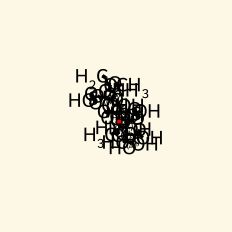 C=CCOC1OC(COS(=O)(=O)O)[C@H](O)[C@H](OC2OC(C(=O)O)[C@@H](OC3OC(COS(=O)(=O)O)[C@H](O)[C@H](O[C@@H]4OC(C(=O)O)[C@@H](O)[C@H](O)C4O)[C@@H]3NC(C)=O)[C@H](O)[C@@H]2O)[C@@H]1NC(C)=O